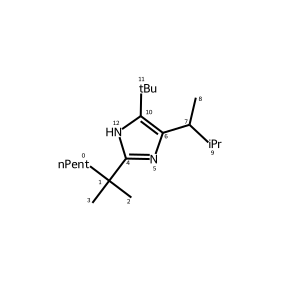 CCCCCC(C)(C)c1nc(C(C)C(C)C)c(C(C)(C)C)[nH]1